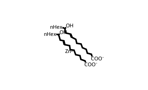 CCCCCCC(O)CC=CCCCCCCCC(=O)[O-].CCCCCCC(O)CC=CCCCCCCCC(=O)[O-].[Zn+2]